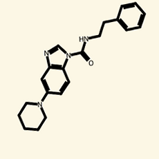 O=C(NCCc1ccccc1)n1cnc2cc(N3CCCCC3)ccc21